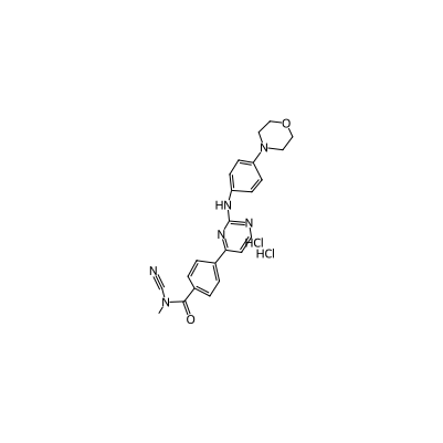 CN(C#N)C(=O)c1ccc(-c2ccnc(Nc3ccc(N4CCOCC4)cc3)n2)cc1.Cl.Cl